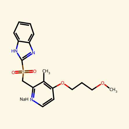 COCCCOc1ccnc(CS(=O)(=O)c2nc3ccccc3[nH]2)c1C.[NaH]